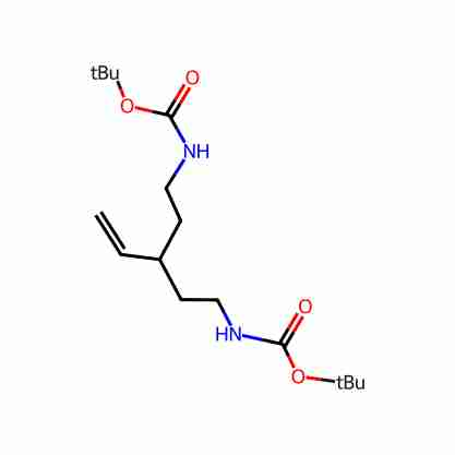 C=CC(CCNC(=O)OC(C)(C)C)CCNC(=O)OC(C)(C)C